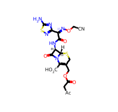 CC(=O)CC(=O)OCC1=C(C(=O)O)N2C(=O)[C@@H](NC(=O)/C(=N\OCC#N)c3nsc(N)n3)[C@@H]2SC1